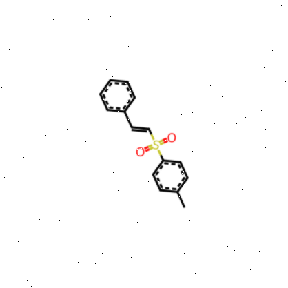 Cc1ccc(S(=O)(=O)C=Cc2ccccc2)cc1